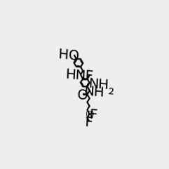 Nc1c(NC(=O)CCCC[C@@H](F)CF)ccc(NCc2ccc(O)cc2)c1F